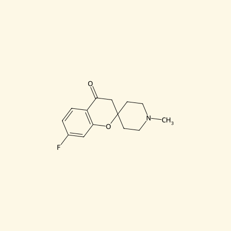 CN1CCC2(CC1)CC(=O)c1ccc(F)cc1O2